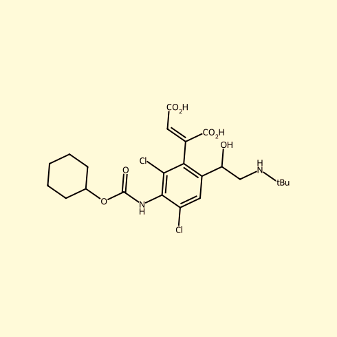 CC(C)(C)NCC(O)c1cc(Cl)c(NC(=O)OC2CCCCC2)c(Cl)c1/C(=C/C(=O)O)C(=O)O